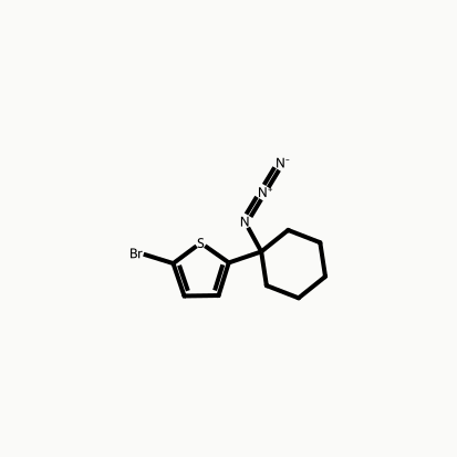 [N-]=[N+]=NC1(c2ccc(Br)s2)CCCCC1